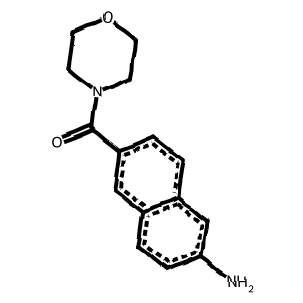 Nc1ccc2cc(C(=O)N3CCOCC3)ccc2c1